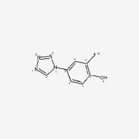 Oc1ccc(-n2cnnn2)cc1F